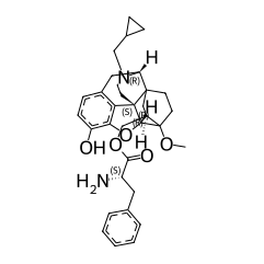 COC12CCC3(C[C@@H]1COC(=O)[C@@H](N)Cc1ccccc1)[C@H]1Cc4ccc(O)c5c4[C@@]3(CCN1CC1CC1)[C@H]2O5